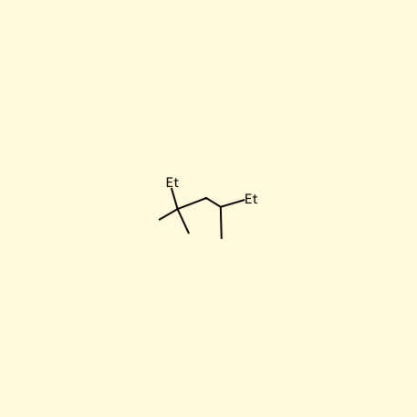 [CH]CC(C)(C)CC(C)CC